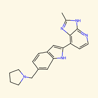 Cc1nc2c(-c3cc4ccc(CN5CCCC5)cc4[nH]3)ccnc2[nH]1